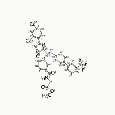 COC(=O)CNC(=O)c1ccc(Cn2cc(-c3ccc(Cl)cc3Cl)nc2/C=C/c2ccc(-c3cccc(C(F)(F)F)c3)cc2)cc1